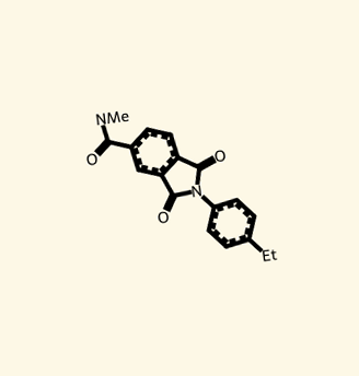 CCc1ccc(N2C(=O)c3ccc(C(=O)NC)cc3C2=O)cc1